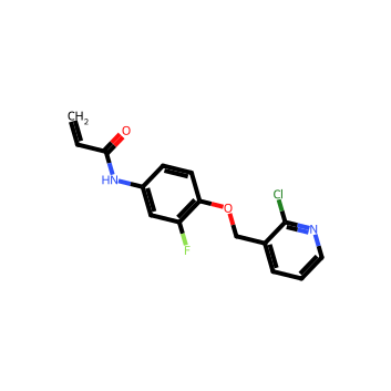 C=CC(=O)Nc1ccc(OCc2cccnc2Cl)c(F)c1